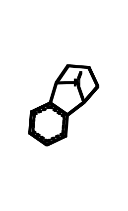 CN1C2CCCC1c1ccccc12